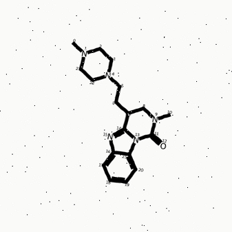 CN1CCN(CCC2CN(C)C(=O)n3c2nc2ccccc23)CC1